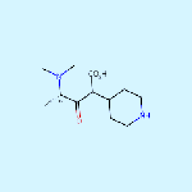 C[C@@H](C(=O)C(C(=O)O)C1CCNCC1)N(C)C